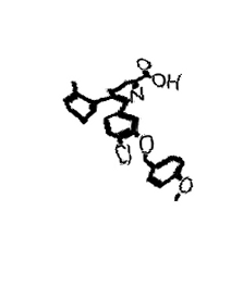 COc1ccc(COc2cc(-c3nc(C(=O)O)ccc3-c3ccccc3C)ccc2Cl)cc1